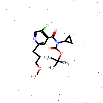 COCCCc1cc(C(=O)N(C(=O)OC(C)(C)C)C2CC2)c(Cl)cn1